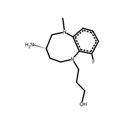 CN1C[C@@H](N)CCN(CCCO)c2c(F)cccc21